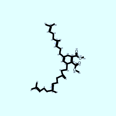 C=C(CC/C=C(\C)CCC=C(C)C)CCC1C=C(CC/C=C(\C)CCC=C(C)C)CC(C(=O)OC)=C1C(=O)OC